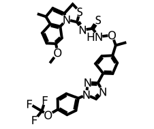 COc1ccc2c(c1)N1C(=CC2C)CS/C1=N\C(=S)NOC(C)c1ccc(-c2ncn(-c3ccc(OC(F)(F)F)cc3)n2)cc1